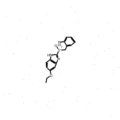 CCOc1ccc2[nH]c([S+]([O-])Cc3ccccc3N)nc2c1